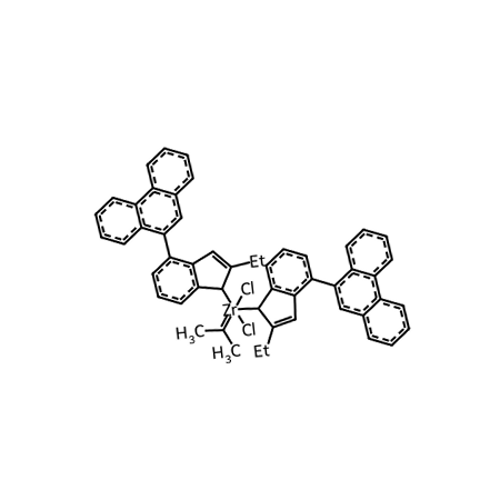 CCC1=Cc2c(-c3cc4ccccc4c4ccccc34)cccc2[CH]1[Zr]([Cl])([Cl])(=[C](C)C)[CH]1C(CC)=Cc2c(-c3cc4ccccc4c4ccccc34)cccc21